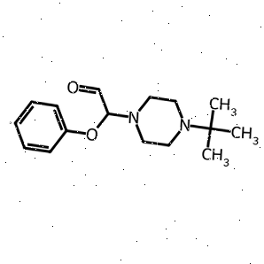 CC(C)(C)N1CCN(C(C=O)Oc2cc[c]cc2)CC1